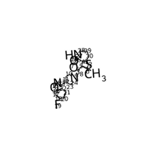 Cc1sc2c(c1C(=O)CN1CCC(c3noc4cc(F)ccc34)CC1)C(=O)NCCC2